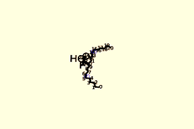 CCCCC/C=C\CCCC(CCC/C=C\CCCCC)=C(F)C(=O)O